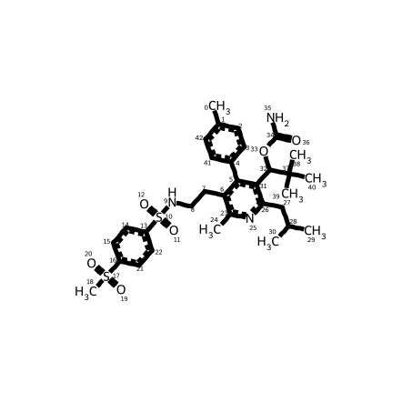 Cc1ccc(-c2c(CCNS(=O)(=O)c3ccc(S(C)(=O)=O)cc3)c(C)nc(CC(C)C)c2C(OC(N)=O)C(C)(C)C)cc1